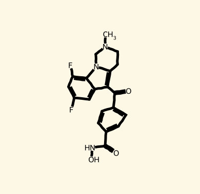 CN1CCc2c(C(=O)c3ccc(C(=O)NO)cc3)c3cc(F)cc(F)c3n2C1